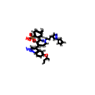 CCC(C)Oc1ccc2[nH]cc(C3=CCN(CCCc4cnn(C5CCCC5)c4)CC3)c2c1.Cc1ccc(S(=O)(=O)O)cc1